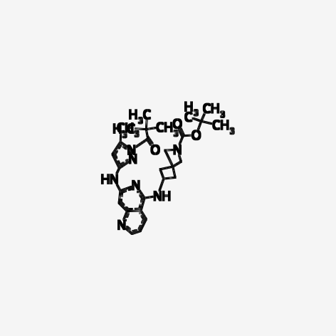 Cc1cc(Nc2cc3ncccc3c(NC3CC4(C3)CN(C(=O)OC(C)(C)C)C4)n2)nn1C(=O)C(C)(C)C